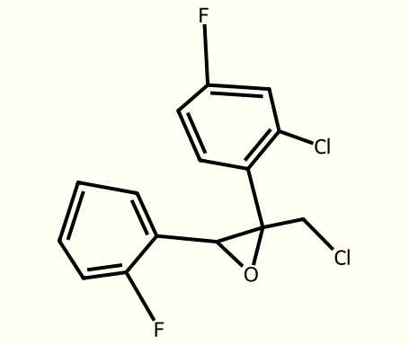 Fc1ccc(C2(CCl)OC2c2ccccc2F)c(Cl)c1